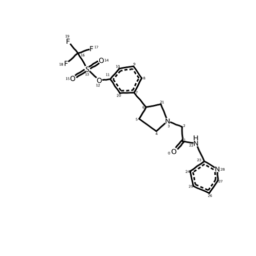 O=C(CN1CCC(c2cccc(OS(=O)(=O)C(F)(F)F)c2)C1)Nc1ccccn1